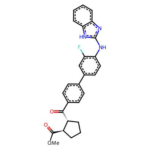 COC(=O)[C@@H]1CCC[C@H]1C(=O)c1ccc(-c2ccc(Nc3nc4ccccc4[nH]3)c(F)c2)cc1